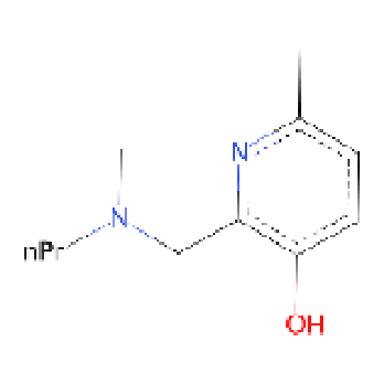 CCCN(C)Cc1nc(C)ccc1O